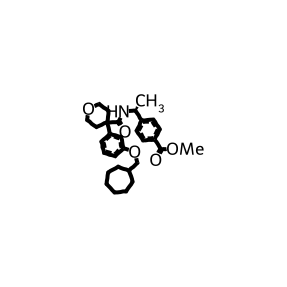 COC(=O)c1ccc([C@H](C)NC(=O)C2(c3cccc(OCC4CCCCCC4)c3)CCOCC2)cc1